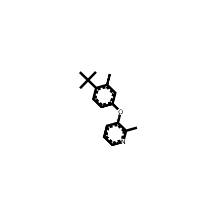 Cc1cc(Oc2cccnc2C)ccc1C(C)(C)C